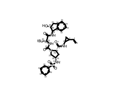 C=CC1CC1NC(=O)[C@@H]1C[C@@H](NS(=O)(=O)c2ccccc2)CN1C(=O)N[C@H](C(=O)NC1c2ccccc2C[C@H]1O)C(C)(C)C